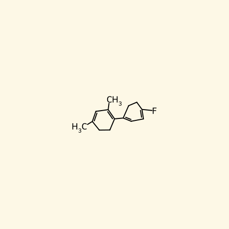 CC1=CC(C)=C(C2=CC=C(F)CC2)CC1